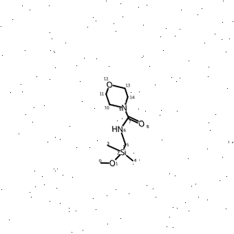 CO[Si](C)(C)CNC(=O)N1CCOCC1